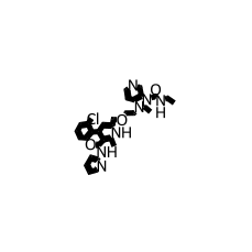 CCNC(=O)N1c2cnccc2N(CCOCC2=CC(c3ccccc3Cl)C(C(=O)Nc3ccccn3)=C(C)N2)C1C